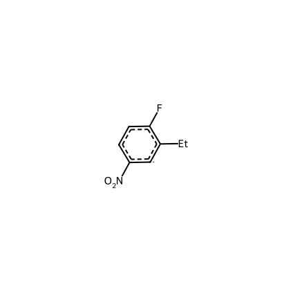 CCc1[c]c([N+](=O)[O-])ccc1F